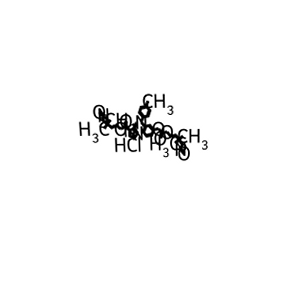 Cc1ccc(N(CC2=NCCN2C(=O)OCCC(C)(C)SN=O)c2cccc(OC(=O)OCCC(C)(C)SN=O)c2)cc1.Cl